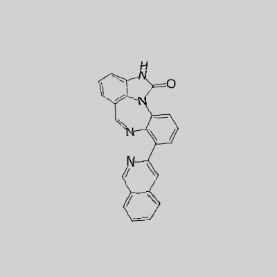 O=c1[nH]c2cccc3c2n1-c1cccc(-c2cc4ccccc4cn2)c1N=C3